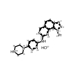 CC(C)n1nnc2ccc3cnc(Nc4ccc(N5CCNCC5)nn4)nc3c21.Cl